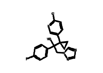 OC(Cn1cncn1)(c1ccc(F)cc1)C1(c2ccc(Cl)nc2)CC1